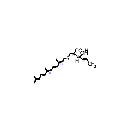 CC(C)=CCC/C(C)=C/CC/C(C)=C/CSC[C@H](NC(O)/C=C/C(F)(F)F)C(=O)O